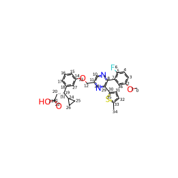 COc1ccc(F)c(-c2ncc(COc3cccc([C@@H](CC(=O)O)C4CC4)c3)nc2-c2ccc(C)s2)c1